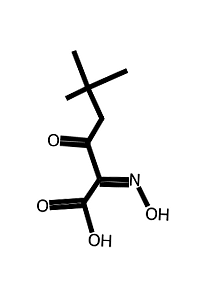 CC(C)(C)CC(=O)C(=NO)C(=O)O